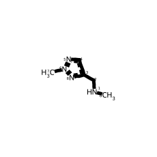 CNCc1cnn(C)n1